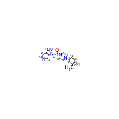 Cc1cc(N2CCN(C(=O)Cn3ncc4ccncc43)CC2)ccc1Cl